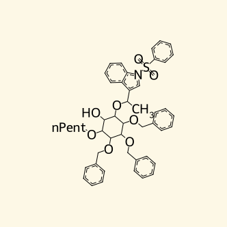 CCCCCOC1C(O)C(OC(C)c2cn(S(=O)(=O)c3ccccc3)c3ccccc23)C(OCc2ccccc2)C(OCc2ccccc2)C1OCc1ccccc1